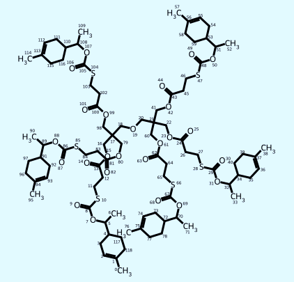 CC1=CCC(C(C)OC(=O)SCCC(=O)OCC(COCC(COC(=O)CCSC(=O)OC(C)C2CC=C(C)CC2)(COC(=O)CCSC(=O)OC(C)C2CC=C(C)CC2)COC(=O)CCSC(=O)OC(C)C2CC=C(C)CC2)(COC(=O)CCSC(=O)OC(C)C2CC=C(C)CC2)COC(=O)CCSC(=O)OC(C)C2CC=C(C)CC2)CC1